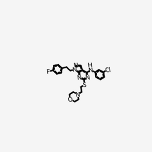 Fc1ccc(CCn2ncc3c(Nc4cccc(Cl)c4)nc(SCCN4CCOCC4)nc32)cc1